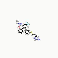 N#CCNC(=O)C1CC(F)(F)CCC1c1ccccc1-c1ccc(SCCc2c[nH]cn2)cc1